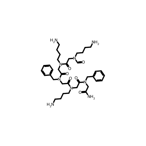 NCCCCN(C=O)CC(=O)N(CCCCN)CC(=O)N(CC(=O)N(CCCCN)CC(=O)N(CC(N)=O)Cc1ccccc1)Cc1ccccc1